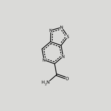 NC(=O)c1ncc2nnsc2n1